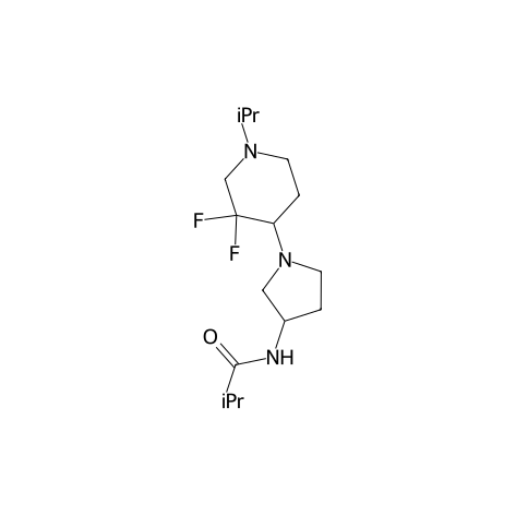 CC(C)C(=O)NC1CCN(C2CCN(C(C)C)CC2(F)F)C1